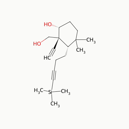 C#C[C@@]1(CO)[C@H](O)CCC(C)(C)[C@@H]1CCC#C[Si](C)(C)C